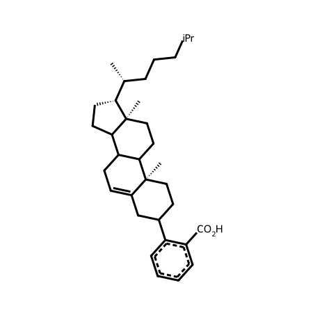 CC(C)CCC[C@@H](C)[C@H]1CCC2C3CC=C4CC(c5ccccc5C(=O)O)CC[C@]4(C)C3CC[C@@]21C